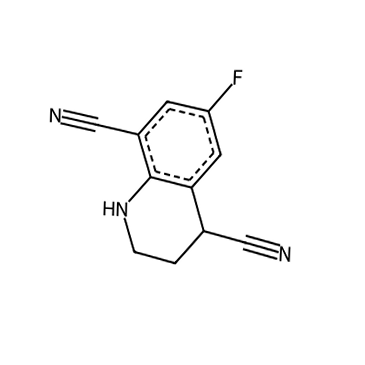 N#Cc1cc(F)cc2c1NCCC2C#N